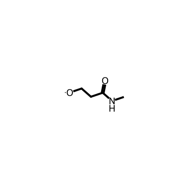 CNC(=O)CC[O]